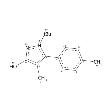 Cc1ccc(-c2c(C)c(O)nn2C(C)(C)C)cc1